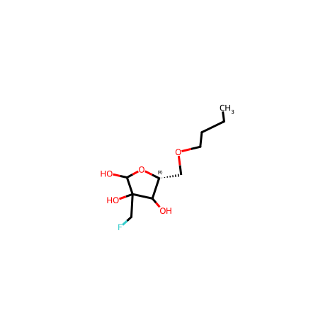 CCCCOC[C@H]1OC(O)C(O)(CF)C1O